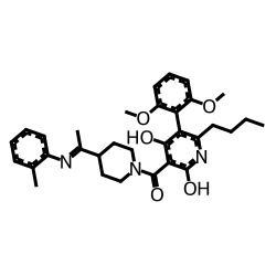 CCCCc1nc(O)c(C(=O)N2CCC(/C(C)=N/c3ccccc3C)CC2)c(O)c1-c1c(OC)cccc1OC